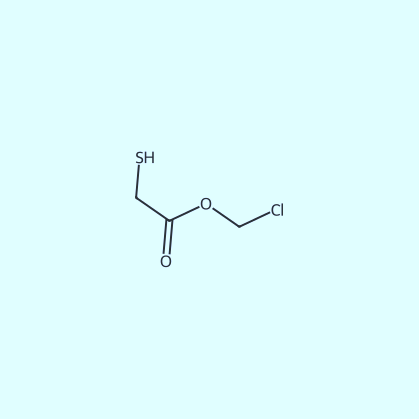 O=C(CS)OCCl